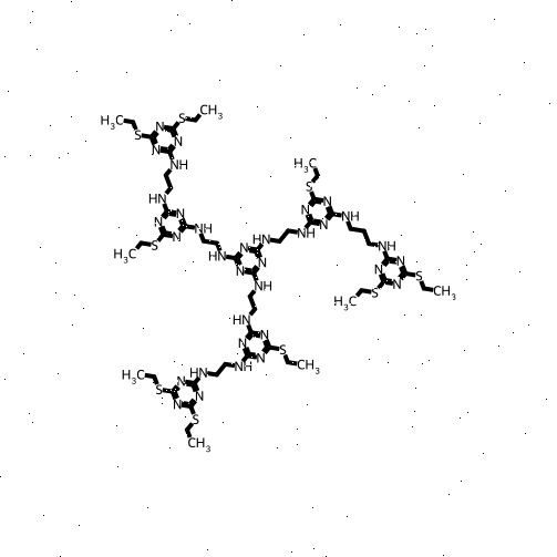 CCSc1nc(NCCCNc2nc(SCC)nc(SCC)n2)nc(NCCNc2nc(NCCNc3nc(NCCNc4nc(SCC)nc(SCC)n4)nc(SCC)n3)nc(NCCNc3nc(NCCNc4nc(SCC)nc(SCC)n4)nc(SCC)n3)n2)n1